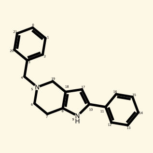 c1ccc(CN2CCc3[nH]c(-c4ccccc4)cc3C2)cc1